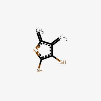 C=c1sc(S)c(S)c1=C